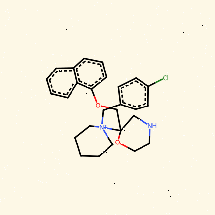 Clc1ccc(C[N+]2(C3(COc4cccc5ccccc45)CNCCO3)CCCCC2)cc1